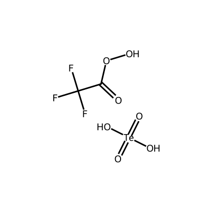 O=C(OO)C(F)(F)F.O=[Te](=O)(O)O